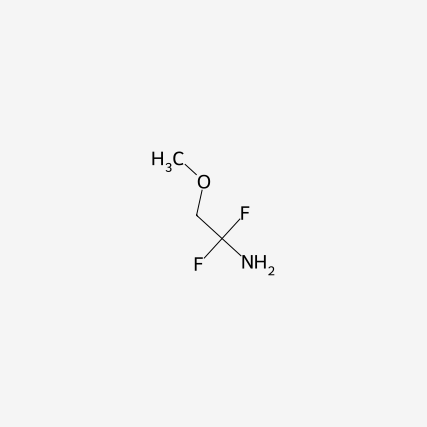 COCC(N)(F)F